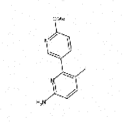 COc1ccc(-c2nc(N)ccc2I)cn1